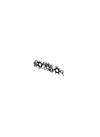 COc1ccc(-c2nnc(NC(=O)Nc3ccc4ncoc4c3)s2)cc1